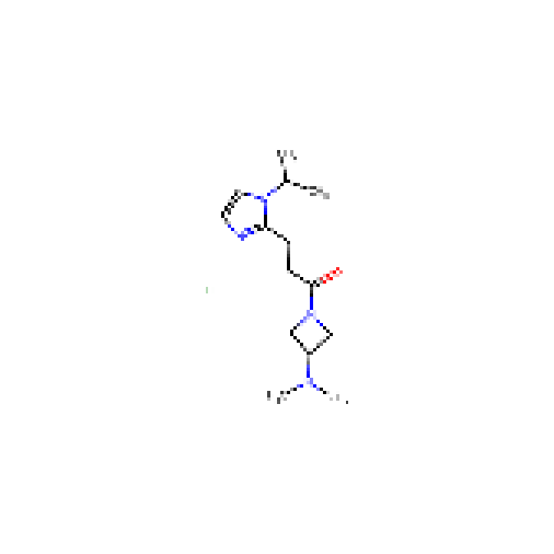 CC(C)n1ccnc1CCC(=O)N1CC(N(C)C)C1.Cl